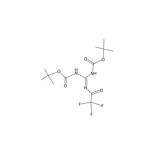 CC(C)(C)OC(=O)NC(=NC(=O)C(F)(F)F)NC(=O)OC(C)(C)C